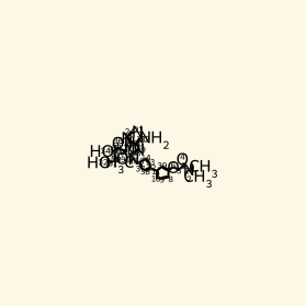 CN(C)C(=O)COc1cccc(-c2ccc(N(C)c3nc4c(N)ncnc4n3[C@@H]3O[C@H](CO)[C@@H](O)[C@H]3O)cc2)c1